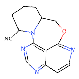 N#CC1CCCC2COc3nccc4ncnc(c34)N12